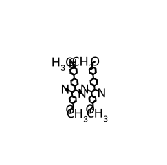 COCc1ccc(C(C#N)=C(C#N)c2ccc(-c3ccc(C=O)cc3)cc2)cc1.COCc1ccc(C(C#N)=C(C#N)c2ccc(-c3ccc(N(C)C)cc3)cc2)cc1